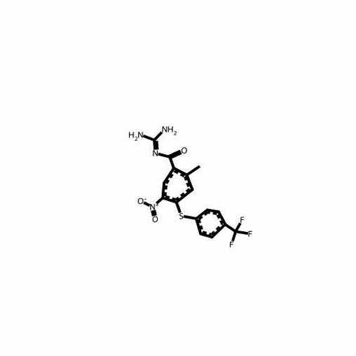 Cc1cc(Sc2ccc(C(F)(F)F)cc2)c([N+](=O)[O-])cc1C(=O)N=C(N)N